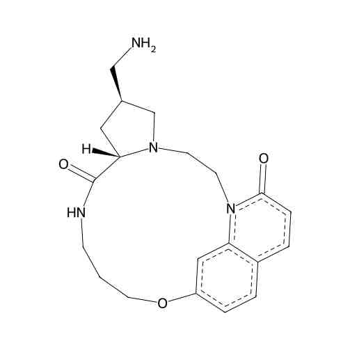 NC[C@@H]1C[C@H]2C(=O)NCCCOc3ccc4ccc(=O)n(c4c3)CCN2C1